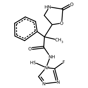 CC(C(=O)N[N+]1(S)C=NN=C1F)(c1ccccc1)C1CNC(=O)O1